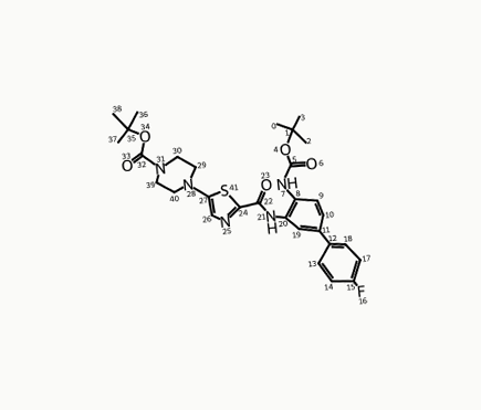 CC(C)(C)OC(=O)Nc1ccc(-c2ccc(F)cc2)cc1NC(=O)c1ncc(N2CCN(C(=O)OC(C)(C)C)CC2)s1